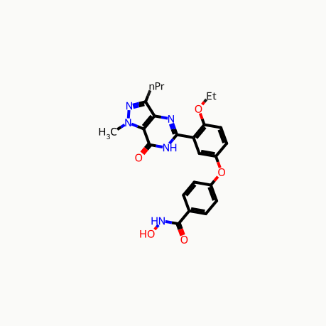 CCCc1nn(C)c2c(=O)[nH]c(-c3cc(Oc4ccc(C(=O)NO)cc4)ccc3OCC)nc12